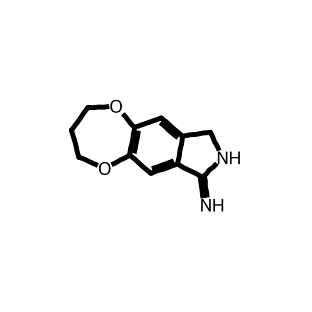 N=C1NCc2cc3c(cc21)OCCCO3